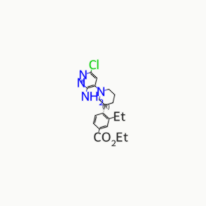 CCOC(=O)c1ccc([C@H]2CCCN(c3cc(Cl)nnc3N)C2)c(CC)c1